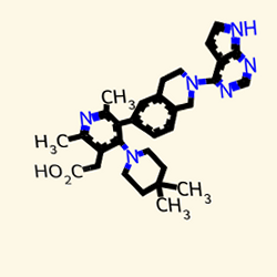 Cc1nc(C)c(-c2ccc3c(c2)CCN(c2ncnc4[nH]ccc24)C3)c(N2CCC(C)(C)CC2)c1CC(=O)O